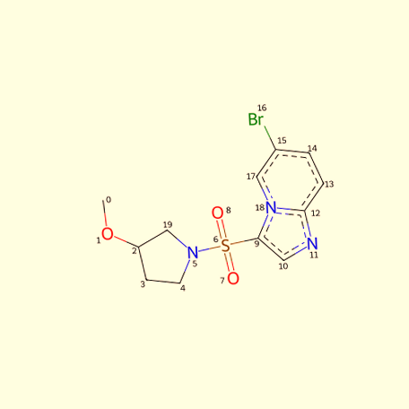 COC1CCN(S(=O)(=O)c2cnc3ccc(Br)cn23)C1